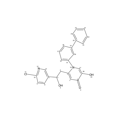 O=c1cc(CC(O)c2ccc(Cl)nc2)n(-c2cccc(-c3ccccc3)c2)cc1O